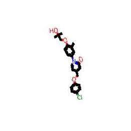 Cc1cc(-n2ccc(COc3ccc(Cl)cc3)cc2=O)ccc1OCC(C)(C)O